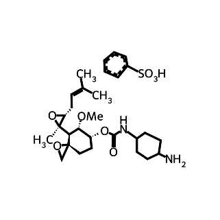 CO[C@@H]1[C@H](OC(=O)NC2CCC(N)CC2)CC[C@]2(CO2)[C@H]1[C@@]1(C)O[C@@H]1CC=C(C)C.O=S(=O)(O)c1ccccc1